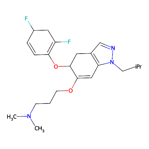 CC(C)Cn1ncc2c1C=C(OCCCN(C)C)C(OC1=C(F)CC(F)C=C1)C2